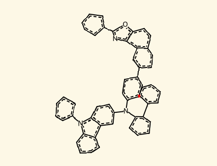 c1ccc(-c2nc3c(ccc4ccc(-c5ccc(N(c6ccc7c(c6)c6ccccc6n7-c6ccccc6)c6ccccc6-c6ccccc6)cc5)cc43)o2)cc1